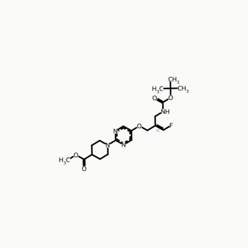 COC(=O)C1CCN(c2ncc(OC/C(=C/F)CNC(=O)OC(C)(C)C)cn2)CC1